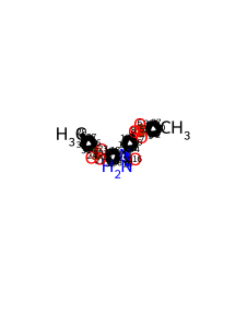 Cc1ccc(S(=O)(=O)Oc2ccc(N(C(N)=O)c3ccc(OS(=O)(=O)c4ccc(C)cc4)cc3)cc2)cc1